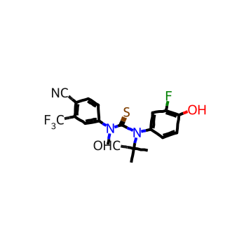 CN(C(=S)N(c1ccc(O)c(F)c1)C(C)(C)C=O)c1ccc(C#N)c(C(F)(F)F)c1